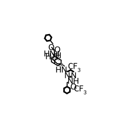 O=C(N[C@H]1[C@@H]2CC3C[C@H]1C[C@@](CNc1nc(NCc4ccccc4OC(F)(F)F)ncc1C(F)(F)F)(C3)C2)OCc1ccccc1